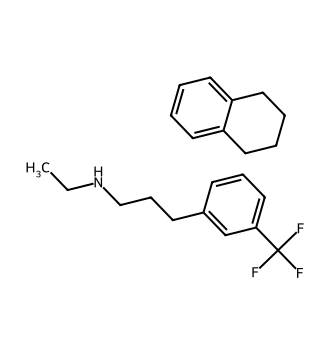 CCNCCCc1cccc(C(F)(F)F)c1.c1ccc2c(c1)CCCC2